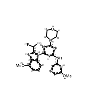 COc1cncc(Nc2nc(N3CCOCC3)nc(-n3c(C(F)F)nc4c(OC)cccc43)n2)n1